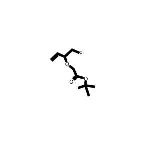 C=CC(CF)OCC(=O)OC(C)(C)C